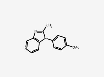 CC(=O)Oc1ccc(-n2c(C)nc3cnccc32)cc1